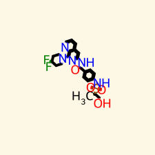 CC(CO)S(=O)(=O)Nc1ccc(C(=O)Nc2cc3cccnc3c(N3CCC(F)(F)CC3)n2)cc1